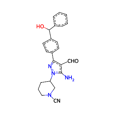 N#CN1CCCC(n2nc(-c3ccc(C(O)c4ccccc4)cc3)c(C=O)c2N)C1